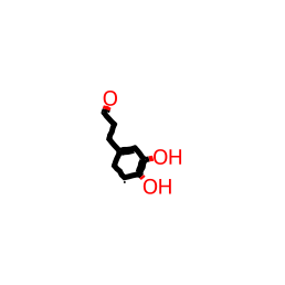 O=CCCC1=CC(O)=C(O)[CH]C1